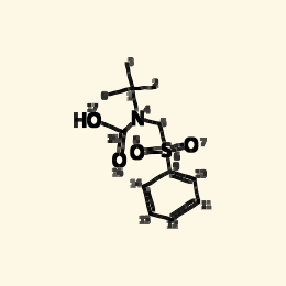 CC(C)(C)N(CS(=O)(=O)c1ccccc1)C(=O)O